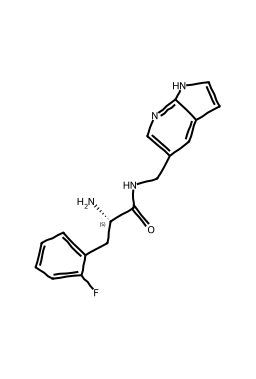 N[C@@H](Cc1ccccc1F)C(=O)NCc1cnc2[nH]ccc2c1